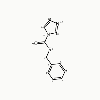 O=C(SCc1ccccc1)n1ccnc1